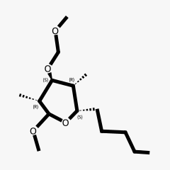 CCCCC[C@@H]1OC(OC)[C@H](C)[C@@H](OCOC)[C@@H]1C